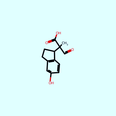 CC(C=O)(C(=O)O)C1CCc2cc(O)ccc21